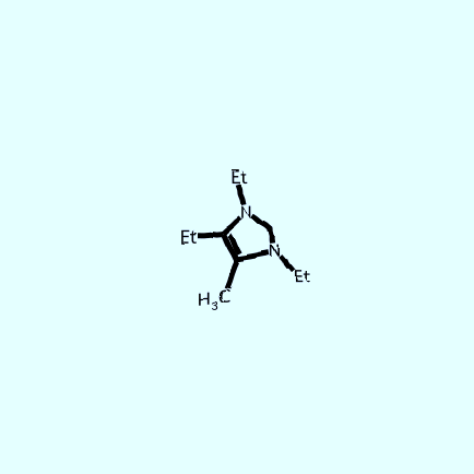 CCC1=C(C)N(CC)CN1CC